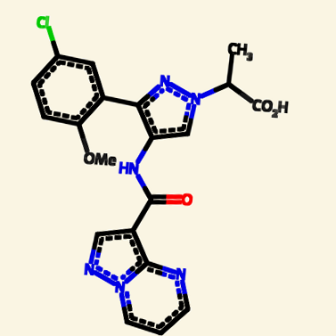 COc1ccc(Cl)cc1-c1nn(C(C)C(=O)O)cc1NC(=O)c1cnn2cccnc12